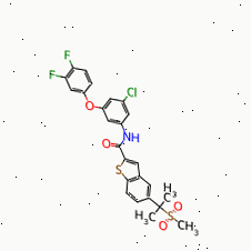 CC(C)(c1ccc2sc(C(=O)Nc3cc(Cl)cc(Oc4ccc(F)c(F)c4)c3)cc2c1)S(C)(=O)=O